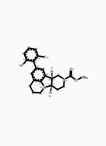 CC(C)(C)OC(=O)N1CC[C@H]2[C@@H](C1)c1cc(-c3c(F)cccc3F)cc3c1N2CCC3